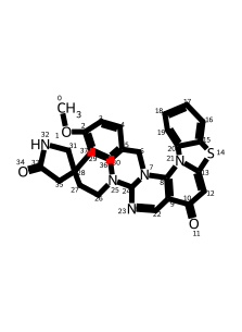 COc1ccc(CN2c3c(c(=O)cc4sc5ccccc5n34)C=NC2N2CCC3(CC2)CNC(=O)C3)cc1